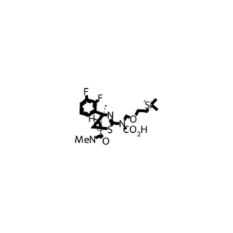 CNC(=O)[C@]12C[C@H]1[C@@](C)(c1cccc(F)c1F)N=C(N(COCC[Si](C)(C)C)C(=O)O)S2